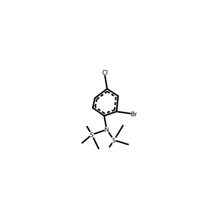 CS(C)(C)N(c1ccc(Cl)cc1Br)S(C)(C)C